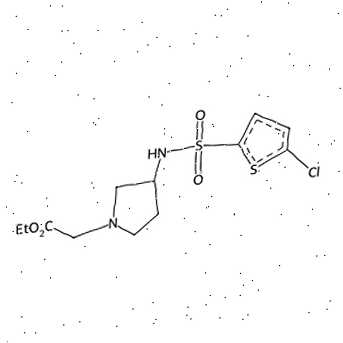 CCOC(=O)CN1CCC(NS(=O)(=O)c2ccc(Cl)s2)C1